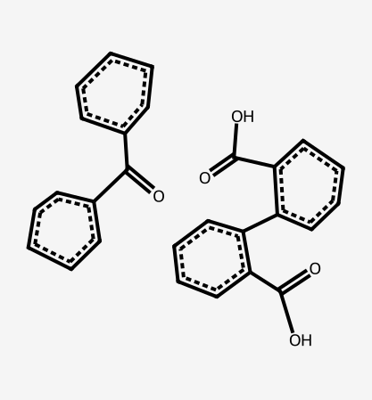 O=C(O)c1ccccc1-c1ccccc1C(=O)O.O=C(c1ccccc1)c1ccccc1